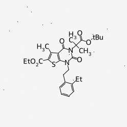 CCOC(=O)c1sc2c(c1C)c(=O)n(C(C)(C)C(=O)OC(C)(C)C)c(=O)n2CCc1ccccc1CC